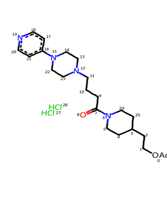 CC(=O)OCCC1CCN(C(=O)CCCN2CCN(c3ccncc3)CC2)CC1.Cl.Cl